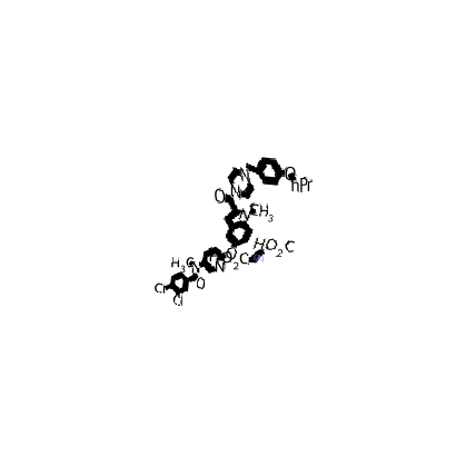 CCCOc1ccc(CN2CCN(C(=O)c3cc4cc(Oc5ccc(N(C)C(=O)c6ccc(Cl)c(Cl)c6)cn5)ccc4n3C)CC2)cc1.O=C(O)/C=C\C(=O)O